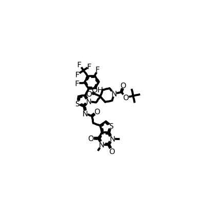 Cn1c(=O)c2c(CC(=O)N=c3scc(-c4ccc(F)c(C(F)(F)F)c4F)n3CC3(C(=O)O)CCN(C(=O)OC(C)(C)C)CC3)csc2n(C)c1=O